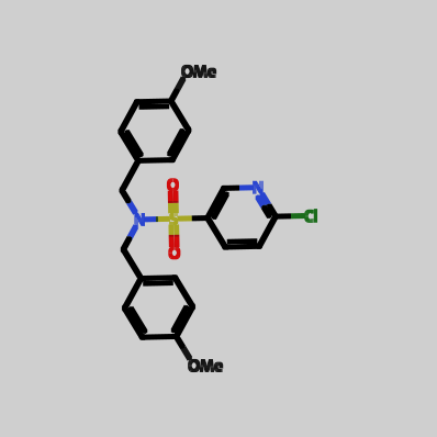 COc1ccc(CN(Cc2ccc(OC)cc2)S(=O)(=O)c2ccc(Cl)nc2)cc1